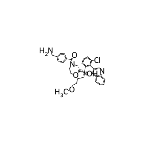 COCCCC[C@](O)(c1cccc(Cl)c1-c1cnc2ccccc2c1)[C@H]1CN(C(=O)c2ccc(CN)cc2)CCO1